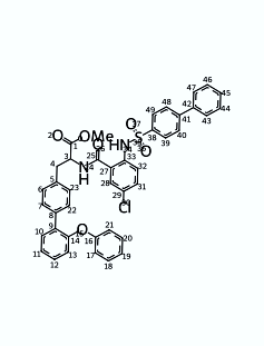 COC(=O)C(Cc1ccc(-c2ccccc2Oc2ccccc2)cc1)NC(=O)c1cc(Cl)ccc1NS(=O)(=O)c1ccc(-c2ccccc2)cc1